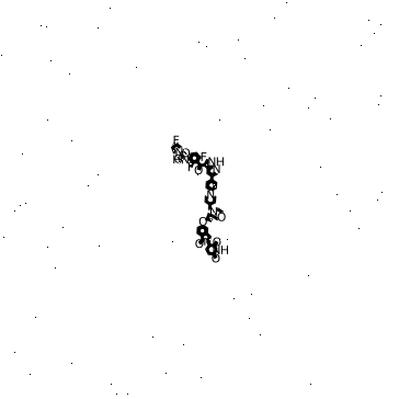 O=C1CCC(N2Cc3cc(O[C@H]4C[C@]5(COCCN5CC5CCN(c6ccc(-c7cnc8[nH]cc(C(=O)c9c(F)ccc(NS(=O)(=O)N%10CC[C@@H](F)C%10)c9F)c8c7)cc6)CC5)C4)ccc3C2=O)C(=O)N1